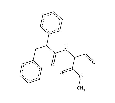 COC(=O)C(C=O)NC(=O)C(Cc1ccccc1)c1ccccc1